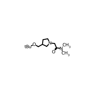 CN(C)C(=O)CN1CCC(COC(C)(C)C)C1